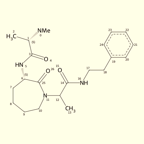 CN[C@@H](C)C(=O)N[C@H]1CCCCN(C(C)C(=O)NCCc2ccccc2)C1=O